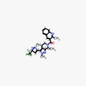 Cc1nc2ccccc2cc1C(=O)N1CCc2c(nn(C)c2-c2cc(C(F)(F)F)nn2C)[C@@H]1C